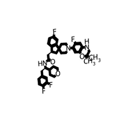 CC1(C)CNc2cc(F)c(N3CCC4(CC3)C[C@@H](CC(=O)N[C@H](Cc3ccc(F)c(F)c3)C3CCOCC3)c3ccc(F)cc34)cc2O1